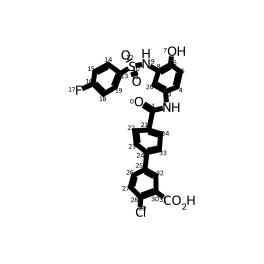 O=C(Nc1ccc(O)c(NS(=O)(=O)c2ccc(F)cc2)c1)c1ccc(-c2ccc(Cl)c(C(=O)O)c2)cc1